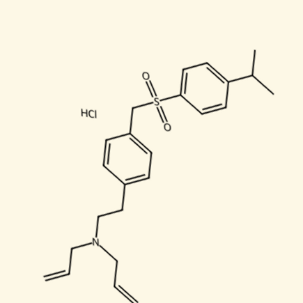 C=CCN(CC=C)CCc1ccc(CS(=O)(=O)c2ccc(C(C)C)cc2)cc1.Cl